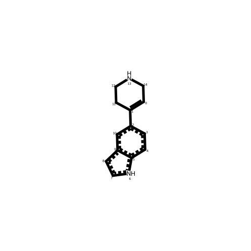 C1=C(c2ccc3[nH]ccc3c2)CCNC1